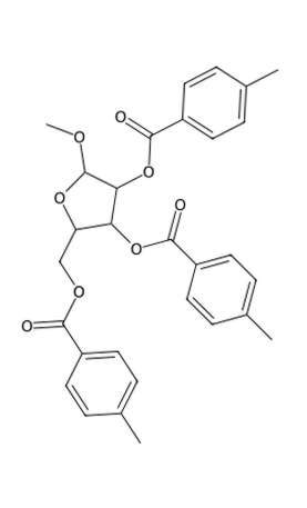 COC1OC(COC(=O)c2ccc(C)cc2)C(OC(=O)c2ccc(C)cc2)C1OC(=O)c1ccc(C)cc1